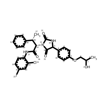 CC(O)COc1ccc(C2NC(=O)N([C@H](C(=O)Nc3ccc(I)cc3Cl)[C@@H](C)c3ccccc3)C2=O)cc1